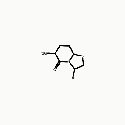 CC(C)(C)C1CCC2SCC(C(C)(C)C)N2C1=O